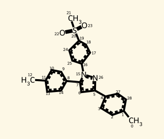 Cc1ccc(-c2cc(-c3ccc(C)cc3)n(-c3ccc(S(C)(=O)=O)cc3)n2)cc1